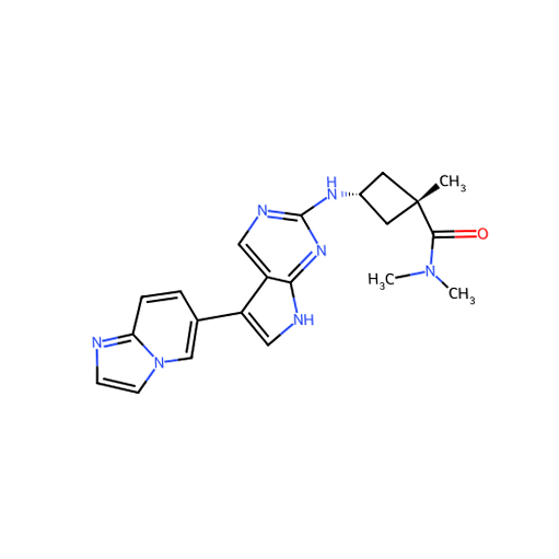 CN(C)C(=O)[C@]1(C)C[C@H](Nc2ncc3c(-c4ccc5nccn5c4)c[nH]c3n2)C1